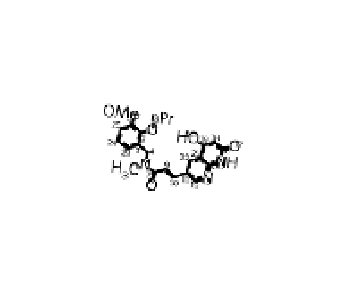 CCCOc1c(CN(C)C(=O)C=Cc2cnc3[nH]c(=O)cc(O)c3c2)cccc1OC